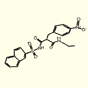 CCNC(=O)C(Cc1ccc([N+](=O)[O-])cc1)C(=O)NS(=O)(=O)c1ccc2ccccc2c1